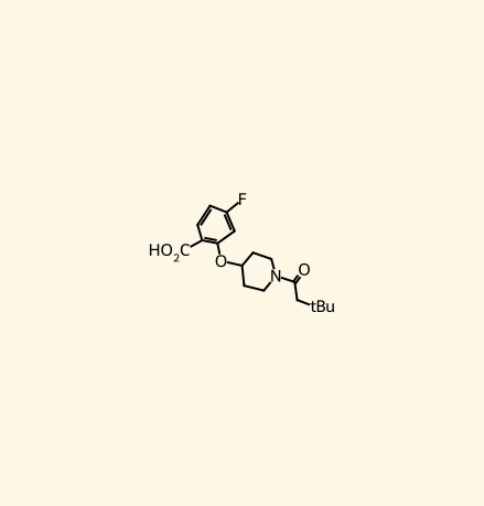 CC(C)(C)CC(=O)N1CCC(Oc2cc(F)ccc2C(=O)O)CC1